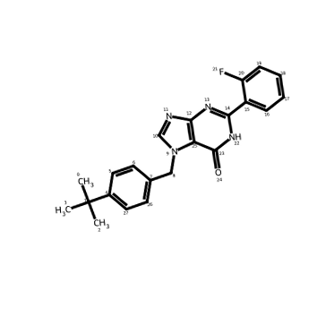 CC(C)(C)c1ccc(Cn2cnc3nc(-c4ccccc4F)[nH]c(=O)c32)cc1